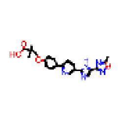 Cc1nc(-c2cnc(-c3ccc(-c4ccc(OCC(C)(C)C(=O)O)cc4)nc3)[nH]2)no1